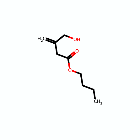 C=C(CO)CC(=O)OCCCC